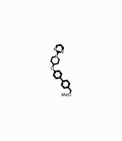 COCc1ccc(-c2ccc(OC3CCN(c4ncccn4)CC3)cc2)cc1